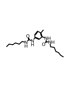 CCCCCCNC(=O)Nc1ccc(C)c(NC(=O)NCCCCCC)c1